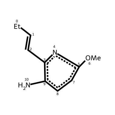 CCC=Cc1nc(OC)ccc1N